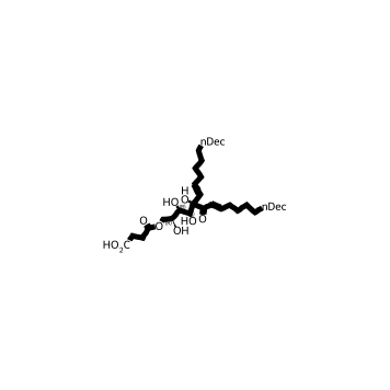 CCCCCCCCCCCCCCC=CC(=O)[C@@](O)(C=CCCCCCCCCCCCCCC)[C@@H](O)[C@H](O)[C@H](O)COC(=O)CCC(=O)O